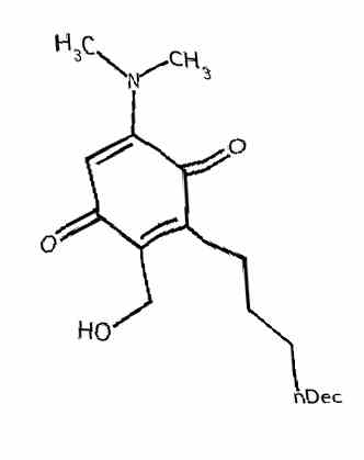 CCCCCCCCCCCCCC1=C(CO)C(=O)C=C(N(C)C)C1=O